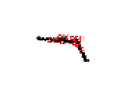 CCCCCCOCCOCC(O)OC(=O)CCCC(=O)OC(O)COCCOCCCCCC